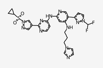 O=S(=O)(C1CC1)n1cc(-c2nccc(Nc3cc(NCCCn4ccnc4)c(-c4ccn(C(F)F)n4)cn3)n2)cn1